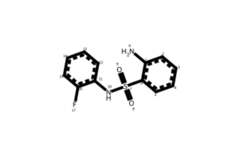 Nc1ccccc1S(=O)(=O)Nc1ccccc1F